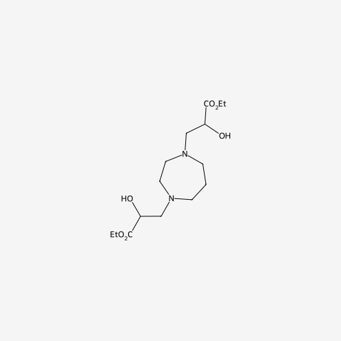 CCOC(=O)C(O)CN1CCCN(CC(O)C(=O)OCC)CC1